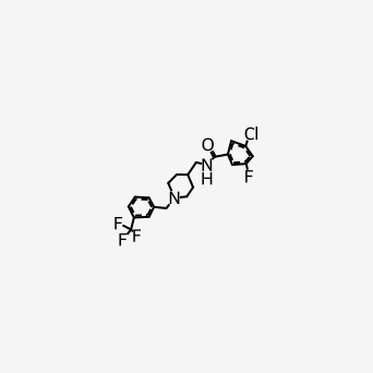 O=C(NCC1CCN(Cc2cccc(C(F)(F)F)c2)CC1)c1cc(F)cc(Cl)c1